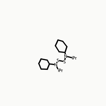 CC(C)N(SSN(C(C)C)C1CCCCC1)C1CCCCC1